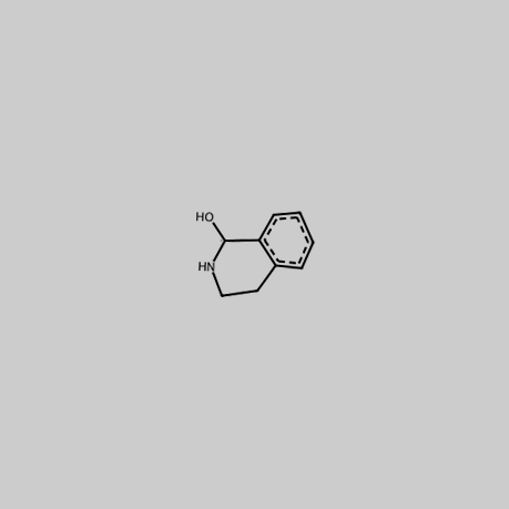 O[C]1NCCc2ccccc21